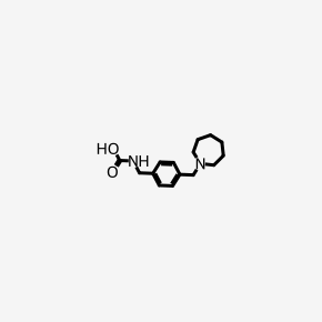 O=C(O)NCc1ccc(CN2CCCCCC2)cc1